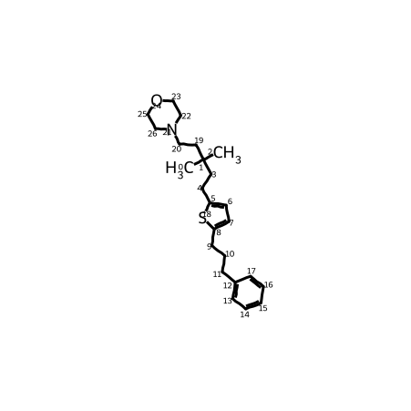 CC(C)(CCc1ccc(CCCc2ccccc2)s1)CCN1CCOCC1